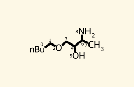 CCCCCOCC(O)C(C)N